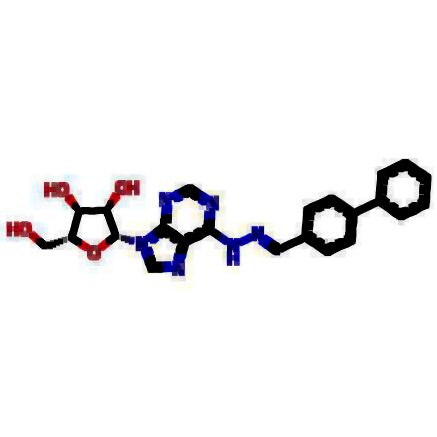 OC[C@H]1O[C@@H](n2cnc3c(NN=Cc4ccc(-c5ccccc5)cc4)ncnc32)[C@H](O)[C@@H]1O